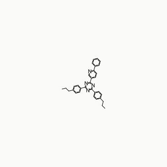 CCCc1ccc(-c2nc(-c3ccc(CCC)cc3)nc(-c3ccc(-c4ccccc4)nc3)n2)cc1